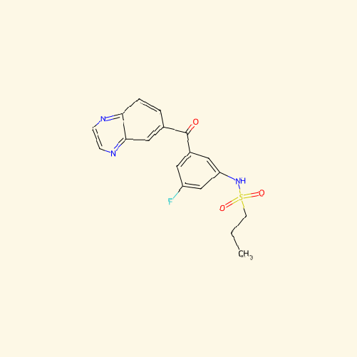 CCCS(=O)(=O)Nc1cc(F)cc(C(=O)c2ccc3nccnc3c2)c1